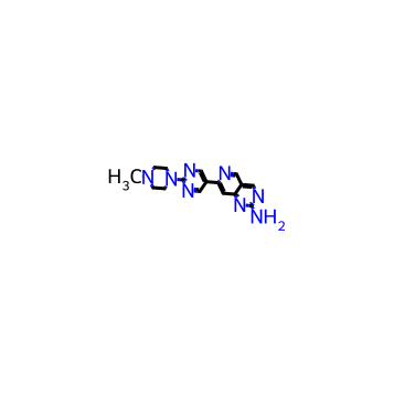 CN1CCN(c2ncc(-c3cc4nc(N)ncc4cn3)cn2)CC1